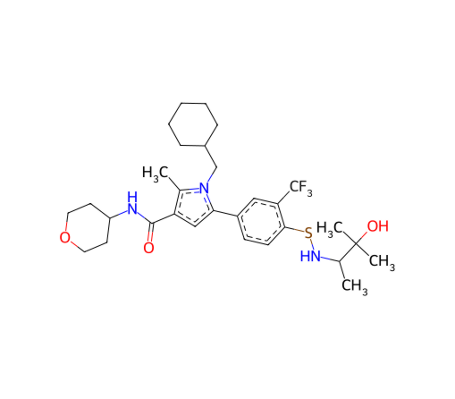 Cc1c(C(=O)NC2CCOCC2)cc(-c2ccc(SNC(C)C(C)(C)O)c(C(F)(F)F)c2)n1CC1CCCCC1